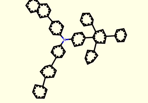 c1ccc(-c2ccc(-c3ccc(N(c4ccc(-c5ccc6ccccc6c5)cc4)c4ccc(-c5c(-c6ccccc6)cc(-c6ccccc6)cc5-c5ccccc5)cc4)cc3)cc2)cc1